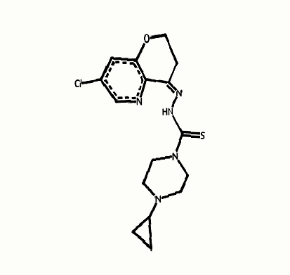 S=C(N/N=C1/CCOc2cc(Cl)cnc21)N1CCN(C2CC2)CC1